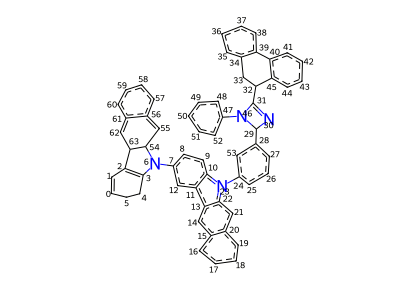 C1=CC2=C(CC1)N(c1ccc3c(c1)c1cc4ccccc4cc1n3-c1cccc(C3N=C(C4Cc5ccccc5-c5ccccc54)N3c3ccccc3)c1)C1C=c3ccccc3=CC21